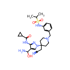 CC(C)S(=O)(=O)Nc1cccc(CN2CCC(CC#N)(n3cc(C(N)O)c(NC(=O)C4CC4)n3)CC2)c1